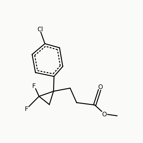 COC(=O)CCC1(c2ccc(Cl)cc2)CC1(F)F